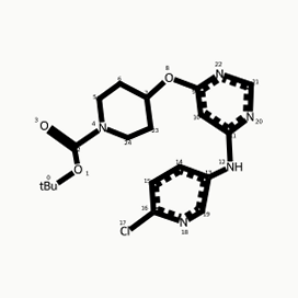 CC(C)(C)OC(=O)N1CCC(Oc2cc(Nc3ccc(Cl)nc3)ncn2)CC1